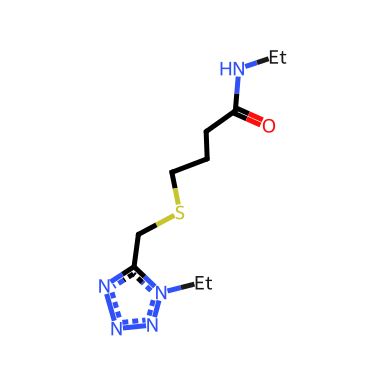 CCNC(=O)CCCSCc1nnnn1CC